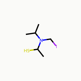 CC(C)N(CI)C(C)S